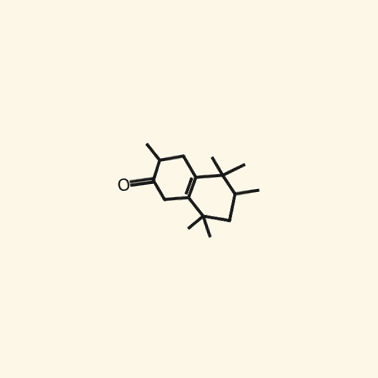 CC1CC2=C(CC1=O)C(C)(C)CC(C)C2(C)C